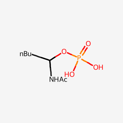 CCCCC(NC(C)=O)OP(=O)(O)O